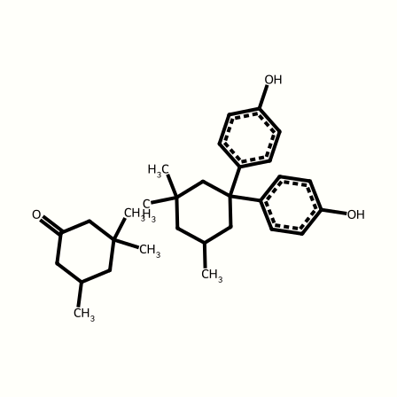 CC1CC(=O)CC(C)(C)C1.CC1CC(C)(C)CC(c2ccc(O)cc2)(c2ccc(O)cc2)C1